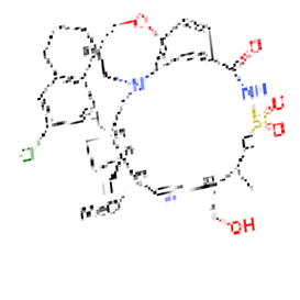 CO[C@H]1/C=C/[C@@H](CO)C(C)CS(=O)(=O)NC(=O)c2ccc3c(c2)N(C[C@@H]2CC[C@H]21)C[C@@]1(CCCc2cc(Cl)ccc21)CO3